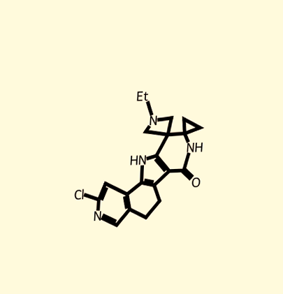 CCN1CC2(C1)c1[nH]c3c(c1C(=O)NC21CC1)CCc1cnc(Cl)cc1-3